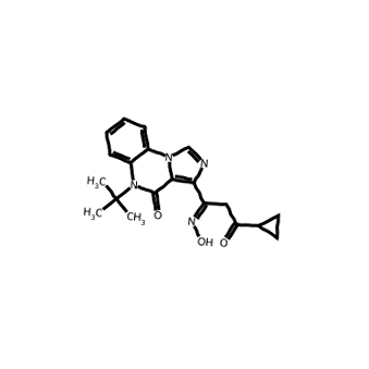 CC(C)(C)n1c(=O)c2c(C(CC(=O)C3CC3)=NO)ncn2c2ccccc21